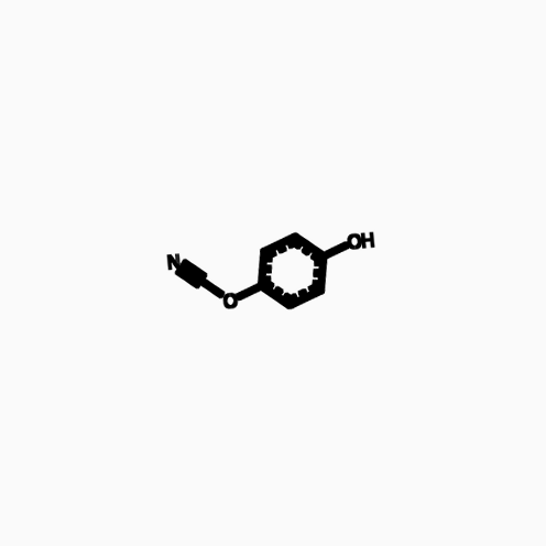 N#COc1ccc(O)cc1